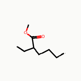 [CH2]CCCC(CC)C(=O)OC